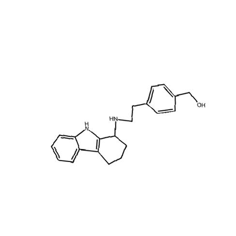 OCc1ccc(CCNC2CCCc3c2[nH]c2ccccc32)cc1